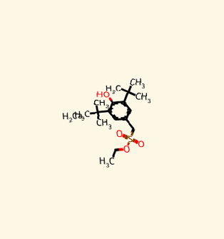 CCOS(=O)(=O)Cc1cc(C(C)(C)C)c(O)c(C(C)(C)C)c1.[CaH2]